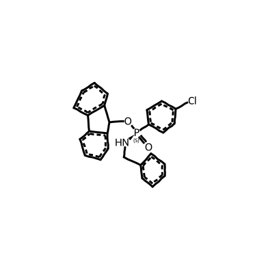 O=[P@](NCc1ccccc1)(OC1c2ccccc2-c2ccccc21)c1ccc(Cl)cc1